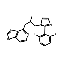 CC(Cc1nccc2[nH]cnc12)Cn1ccnc1-c1c(F)cccc1F